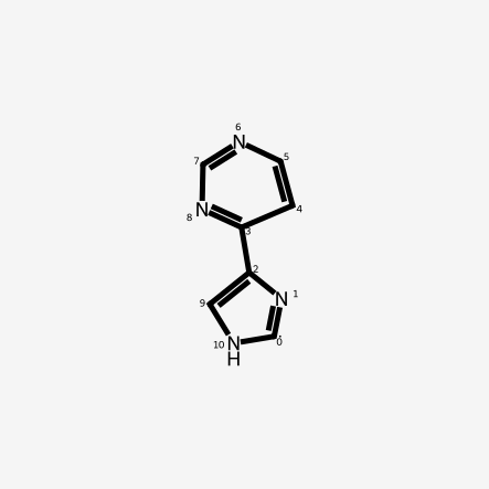 [c]1nc(-c2ccncn2)c[nH]1